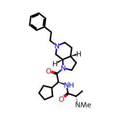 CN[C@@H](C)C(=O)N[C@H](C(=O)N1CC[C@H]2CCN(CCc3ccccc3)C[C@H]21)C1CCCC1